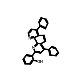 Oc1ccccc1-c1cc(-c2ccccc2)c2ccc3c(-c4ccccc4)ccnc3c2n1